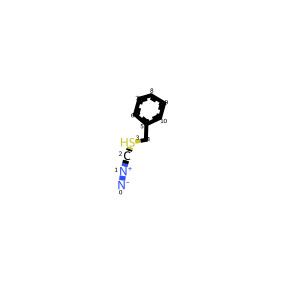 [N-]=[N+]=C=[SH]Cc1ccccc1